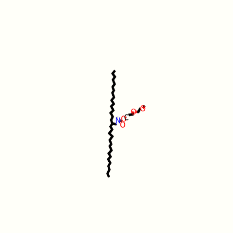 CCCCCCCCCCCCCCCCC(CCCCCCCCCCCCCCCC)CN(C)C(=O)OCCCOCCOC